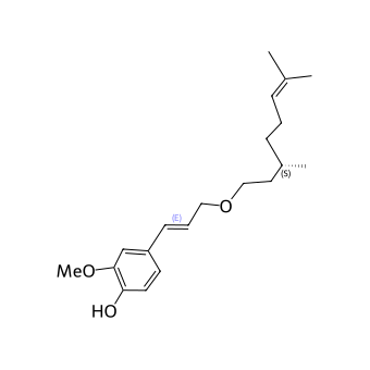 COc1cc(/C=C/COCC[C@@H](C)CCC=C(C)C)ccc1O